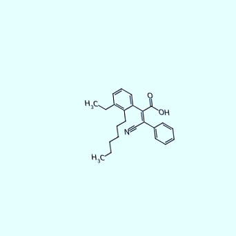 CCCCCCc1c(CC)cccc1C(C(=O)O)=C(C#N)c1ccccc1